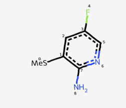 CSc1cc(F)cnc1N